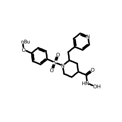 CCCCOc1ccc(S(=O)(=O)N2CCC(C(=O)NO)CC2Cc2ccncc2)cc1